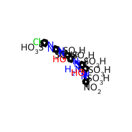 Nc1c(N=Nc2ccc3c(O)c(N=Nc4ccc(N=Nc5ccc(Cl)c(S(=O)(=O)O)c5)cc4S(=O)(=O)O)c(S(=O)(=O)O)cc3c2S(=O)(=O)O)cc(S(=O)(=O)O)c2cc(S(=O)(=O)O)c(N=Nc3ccc([N+](=O)[O-])cc3S(=O)(=O)O)c(O)c12